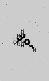 COC(=O)c1cnc2[nH]ccc2c1N[C@H]1CCC[C@@H](CCC#N)C1